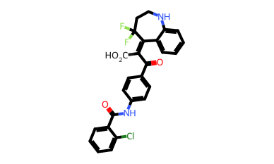 O=C(O)C(C(=O)c1ccc(NC(=O)c2ccccc2Cl)cc1)=C1c2ccccc2NCCC1(F)F